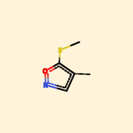 CSc1oncc1C